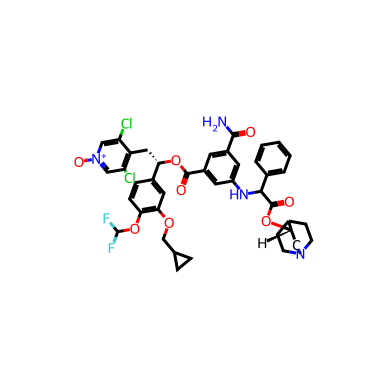 NC(=O)c1cc(NC(C(=O)O[C@H]2CN3CCC2CC3)c2ccccc2)cc(C(=O)O[C@@H](Cc2c(Cl)c[n+]([O-])cc2Cl)c2ccc(OC(F)F)c(OCC3CC3)c2)c1